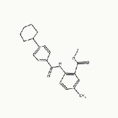 Cc1ccc(NC(=O)c2ccc(C3CCCCC3)cc2)c(C(=O)OI)c1